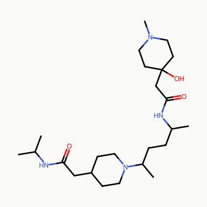 CC(C)NC(=O)CC1CCN(C(C)CCC(C)NC(=O)CC2(O)CCN(C)CC2)CC1